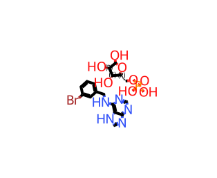 Brc1cccc(CNc2ncnc3nc[nH]c23)c1.O=P(O)(O)OC[C@H]1OC(O)[C@H](O)[C@@H]1O